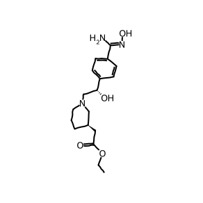 CCOC(=O)C[C@H]1CCCN(C[C@@H](O)c2ccc(/C(N)=N/O)cc2)C1